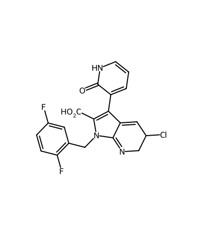 O=C(O)c1c(-c2ccc[nH]c2=O)c2c(n1Cc1cc(F)ccc1F)=NCC(Cl)C=2